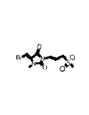 CN1C(=O)N(CCCS(C)(=O)=O)C(=O)/C1=C/Br